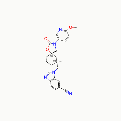 COc1ccc(N2C[C@@]3(CCC[C@](C)(Cn4cnc5ccc(C#N)cc54)C3)OC2=O)cn1